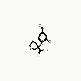 O=Cc1ccc(OC2(C(=O)O)CCCSC2)c(Cl)c1